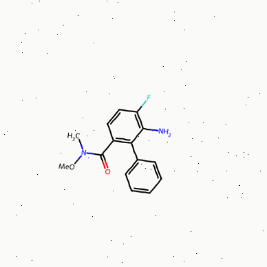 CON(C)C(=O)c1ccc(F)c(N)c1-c1ccccc1